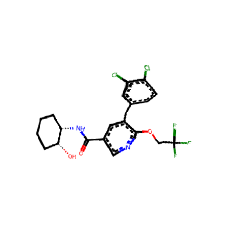 O=C(N[C@H]1CCCC[C@H]1O)c1cnc(OCC(F)(F)F)c(-c2ccc(Cl)c(Cl)c2)c1